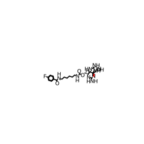 N=C1N[C@H]2[C@H](COC(=O)NCCCCCCNC(=O)c3ccc(F)cc3)NC(=N)N3CCC(O)(O)[C@]23N1